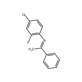 CC(=Nc1ccc(Cl)cc1F)c1ccccc1